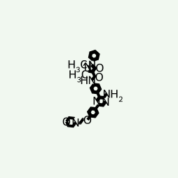 Cc1c(C(=O)Nc2ccc(-c3nc(-c4ccc(OCCN5CCOCC5)cc4)cnc3N)cc2)c(=O)n(-c2ccccc2)n1C